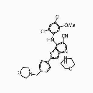 C1COCCN1.COc1cc(Nc2c(C#N)cnc3cc(-c4ccc(CN5CCOCC5)cc4)sc23)c(Cl)cc1Cl